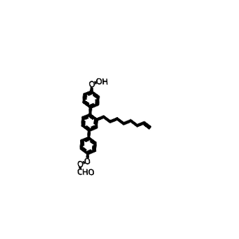 C=CCCCCCCc1cc(-c2ccc(OOC=O)cc2)ccc1-c1ccc(OO)cc1